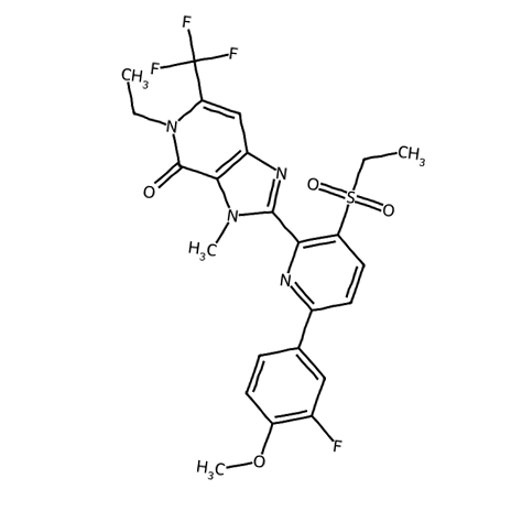 CCn1c(C(F)(F)F)cc2nc(-c3nc(-c4ccc(OC)c(F)c4)ccc3S(=O)(=O)CC)n(C)c2c1=O